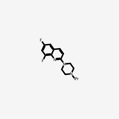 CC(C)N1CCN(c2ccc3cc(F)cc(F)c3n2)CC1